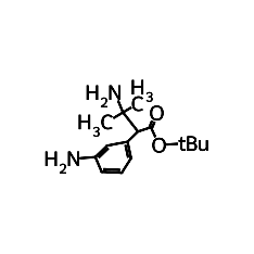 CC(C)(C)OC(=O)C(c1cccc(N)c1)C(C)(C)N